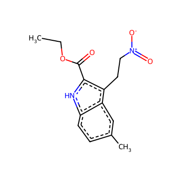 CCOC(=O)c1[nH]c2ccc(C)cc2c1CC[N+](=O)[O-]